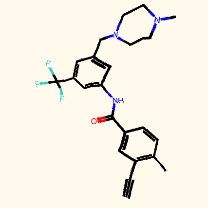 C#Cc1cc(C(=O)Nc2cc(CN3CCN(C)CC3)cc(C(F)(F)F)c2)ccc1C